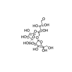 O=C[C@H](O)[C@@H](O)[C@@H](O)[C@@H](CO[C@@H]1O[C@@H]([C@H](O)CO)[C@H](O)[C@H]1O)O[C@H]1O[C@H](CO)[C@@H](O)[C@@H]1O